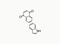 O=C1C=CC(=O)c2ccccc21.c1ccc2[nH]ccc2c1